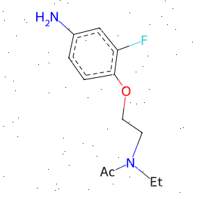 CCN(CCOc1ccc(N)cc1F)C(C)=O